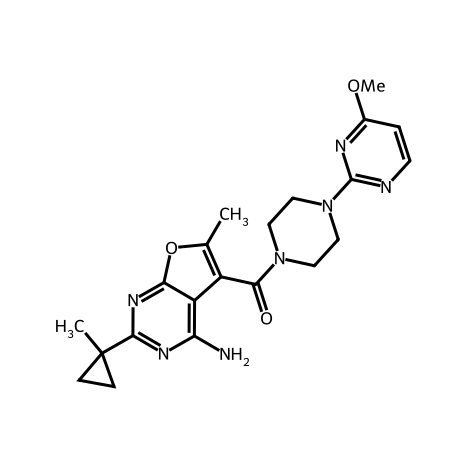 COc1ccnc(N2CCN(C(=O)c3c(C)oc4nc(C5(C)CC5)nc(N)c34)CC2)n1